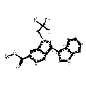 COC(=O)c1cc2c(cn1)c(-c1coc3ccccc13)nn2CC(F)(F)F